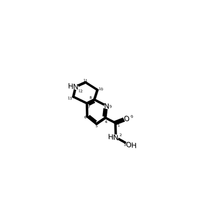 O=C(NO)c1ccc2c(n1)CCNC2